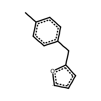 Cc1ccc(Cc2cc[c]o2)cc1